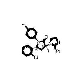 CC(C)c1nccn1[C@@]1(I)C[C@H](c2ccccc2Cl)N(c2ccc(Cl)cc2)C1=O